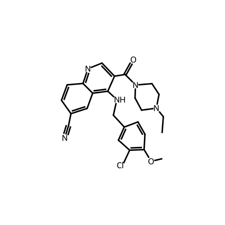 CCN1CCN(C(=O)c2cnc3ccc(C#N)cc3c2NCc2ccc(OC)c(Cl)c2)CC1